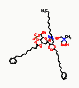 CCCCCCCCCCCCC(OC(=O)CCCCCCCCc1ccccc1)C(=O)C1(ON)C[C@H](OC(=O)CCCCCCCCc2ccccc2)[C@H](OS(=O)(=O)[O-])[C@@H](CO)O1.C[N+](CO)(CO)CO